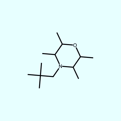 CC1OC(C)C(C)N(CC(C)(C)C)C1C